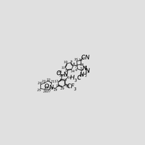 Cn1cnnc1CC1(c2cccc(N3Cc4c(cc(CN5CCC6CCC(C5)O6)cc4C(F)(F)F)C3=O)c2)CC(C#N)C1